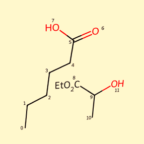 CCCCCC(=O)O.CCOC(=O)C(C)O